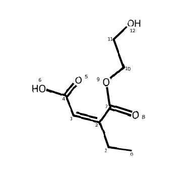 CCC(=CC(=O)O)C(=O)OCCO